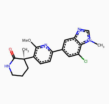 COc1nc(-c2cc(Cl)c3c(c2)ncn3C)ccc1[C@@]1(C)CCCNC1=O